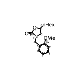 CCCCCCC1CN(Cc2ccccc2OC)C(=O)O1